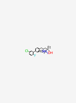 CCC(CO)(CC(N)Cc1ccc(-c2cc(Cl)ccc2F)cc1)C(=O)O